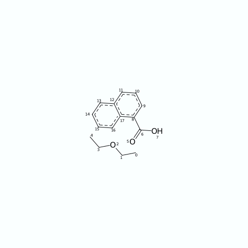 CCOCC.O=C(O)c1cccc2ccccc12